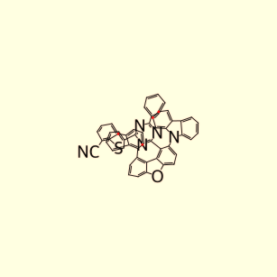 N#Cc1cccc2c1sc1c(-c3cccc4oc5ccc(-n6c7ccccc7c7ccccc76)c(-c6nc(-c7ccccc7)nc(-c7ccccc7)n6)c5c34)cccc12